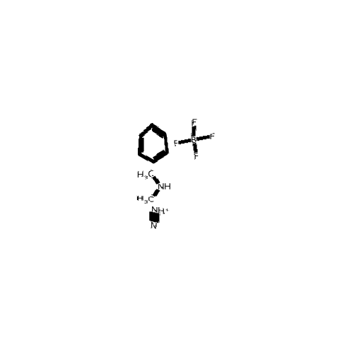 CNC.F[B-](F)(F)F.N#[NH+].c1ccccc1